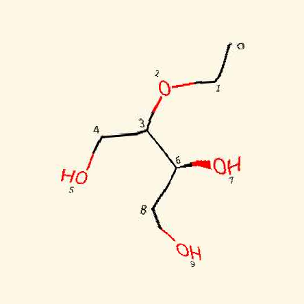 CCOC(CO)[C@@H](O)CO